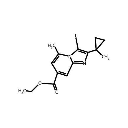 CCOC(=O)c1cc(C)n2c(I)c(C3(C)CC3)nc2c1